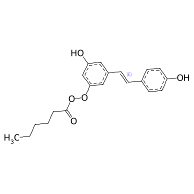 CCCCCC(=O)OOc1cc(O)cc(/C=C/c2ccc(O)cc2)c1